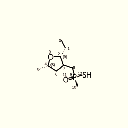 CC[C@H]1O[C@@H](C)CC1CP(C)(=O)S